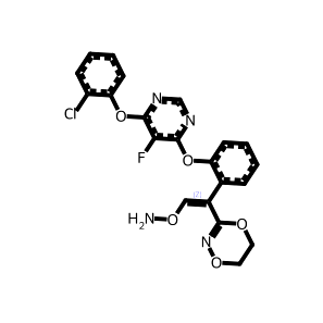 NO/C=C(\C1=NOCCO1)c1ccccc1Oc1ncnc(Oc2ccccc2Cl)c1F